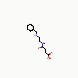 O=C(O)CCC(=O)NCCNCc1ccccc1